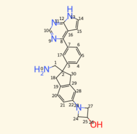 NCC1(c2cccc(-c3ncnc4[nH]ccc34)c2)Cc2ccc(N3CC(O)C3)cc2C1